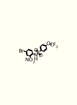 O=[N+]([O-])c1cc(Br)ccc1NS(=O)(=O)c1ccc(OC(F)(F)F)cc1